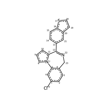 Clc1ccc2c(c1)-n1cccc1C(c1ccc3sccc3c1)=NC2